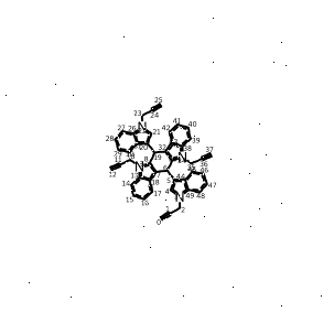 C#CCn1cc(C2c3c(n(CC#C)c4ccccc34)C(c3cn(CC#C)c4ccccc34)c3c2n(CC#C)c2ccccc32)c2ccccc21